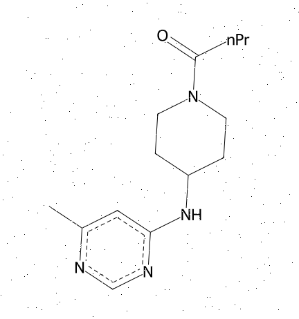 CCCC(=O)N1CCC(Nc2cc(C)ncn2)CC1